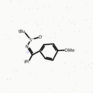 COc1ccc(/C(=N\[S+]([O-])C(C)(C)C)C(C)C)cc1